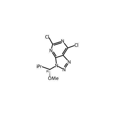 CO[C@H](C(C)C)n1nnc2c(Cl)nc(Cl)nc21